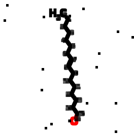 CCCCCCCC=CCCCCCCC[O]